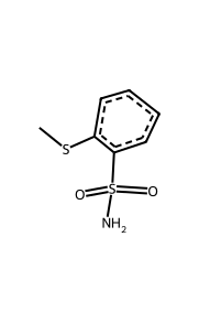 CSc1ccccc1S(N)(=O)=O